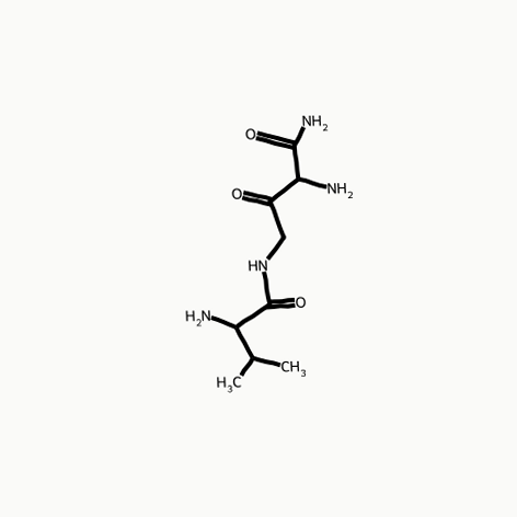 CC(C)C(N)C(=O)NCC(=O)C(N)C(N)=O